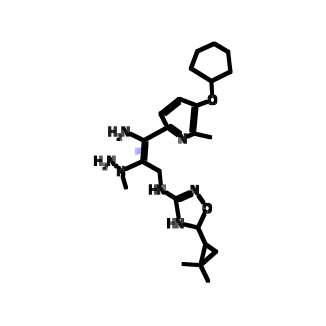 Cc1nc(/C(N)=C(\CNC2=NOC(C3CC3(C)C)N2)N(C)N)ccc1OC1CCCCC1